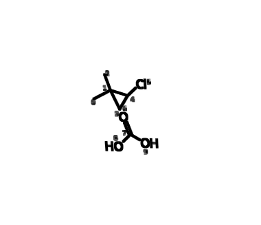 CC1(C)CC1Cl.O=C(O)O